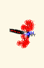 CCCC(Nc1ccc(O[C@@H]2O[C@H](COS(=O)(=O)[O-])[C@@H](O[C@H]3O[C@H](COS(=O)(=O)[O-])[C@@H](OS(=O)(=O)[O-])[C@H](OS(=O)(=O)[O-])[C@H]3OS(=O)(=O)[O-])[C@H](OS(=O)(=O)[O-])[C@H]2OS(=O)(=O)[O-])cc1)Nc1ccc(O[C@@H]2O[C@H](COS(=O)(=O)[O-])[C@@H](O[C@H]3O[C@H](COS(=O)(=O)[O-])[C@@H](OS(=O)(=O)[O-])[C@H](OS(=O)(=O)[O-])[C@H]3OS(=O)(=O)[O-])[C@H](OS(=O)(=O)[O-])[C@H]2OS(=O)(=O)[O-])cc1.[Na+].[Na+].[Na+].[Na+].[Na+].[Na+].[Na+].[Na+].[Na+].[Na+].[Na+].[Na+].[Na+].[Na+]